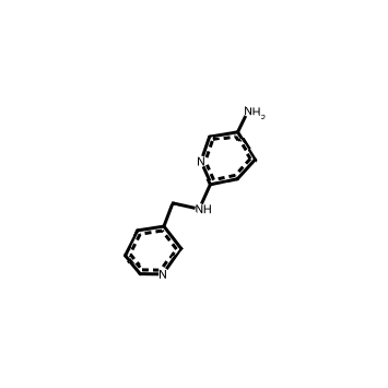 Nc1ccc(NCc2cccnc2)nc1